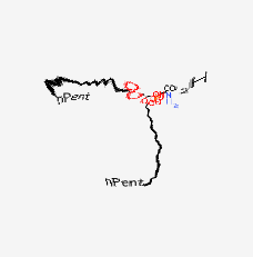 CCCCC/C=C\C/C=C\CCCCCCCCCC(=O)OC[C@H](COP(=O)(O)OC[C@H](N)C(=O)O)OC(=O)CCCCCCCCC/C=C\C/C=C\CCCCC